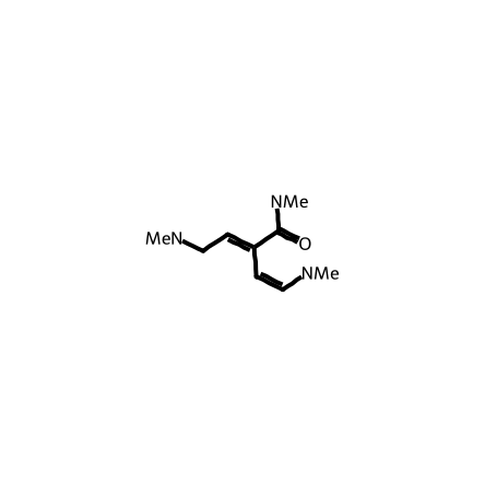 CN/C=C\C(=C/CNC)C(=O)NC